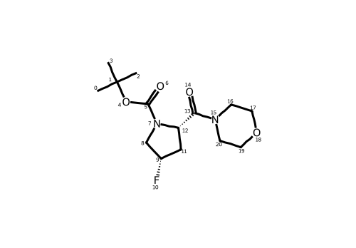 CC(C)(C)OC(=O)N1C[C@@H](F)C[C@H]1C(=O)N1CCOCC1